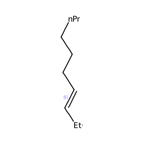 C[CH]/C=C/CCCCCC